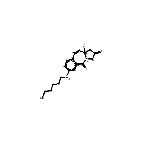 C=C1C[C@H]2C=Nc3ccc(OCCCCCBr)cc3C(=O)N2C1